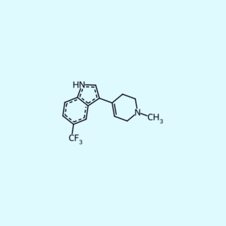 CN1CC=C(c2c[nH]c3ccc(C(F)(F)F)cc23)CC1